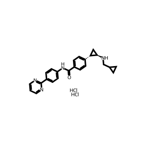 Cl.Cl.O=C(Nc1ccc(-c2ncccn2)cc1)c1ccc([C@@H]2C[C@H]2NCC2CC2)cc1